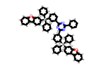 c1ccc(-c2nc(-c3cccc([Si](c4ccccc4)(c4ccccc4)c4ccc5c(c4)oc4ccccc45)c3)nc(-c3cccc([Si](c4ccccc4)(c4ccccc4)c4ccc5c(c4)oc4ccccc45)c3)n2)cc1